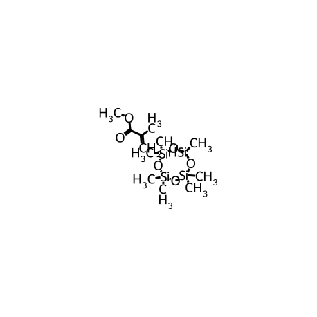 C=C(C)C(=O)OC.C[SiH]1O[Si](C)(C)O[Si](C)(C)O[Si](C)(C)O1